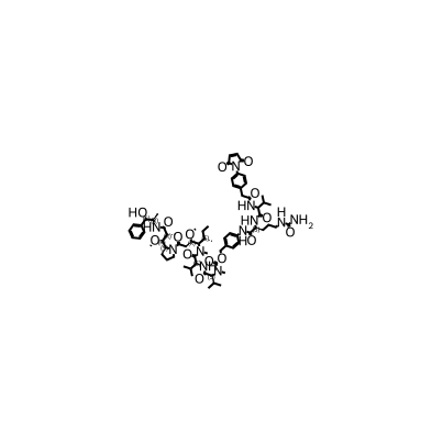 CC[C@H](C)C([C@@H](CC(=O)N1CCC[C@H]1[C@H](OC)[C@@H](C)C(=O)N[C@H](C)[C@@H](O)c1ccccc1)OC)N(C)C(=O)[C@@H](NC(=O)[C@H](C(C)C)N(C)C(=O)OCc1ccc(NC(=O)[C@H](CCCNC(N)=O)NC(=O)C(NC(=O)Cc2ccc(N3C(=O)C=CC3=O)cc2)C(C)C)cc1)C(C)C